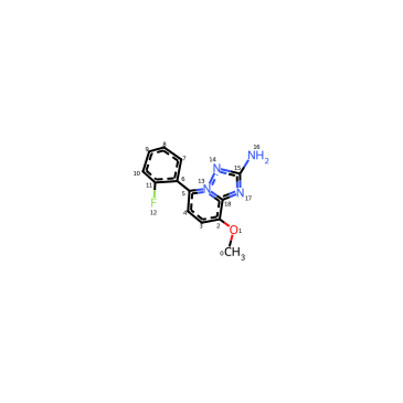 COc1ccc(-c2ccccc2F)n2nc(N)nc12